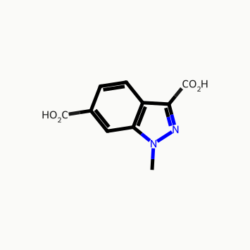 Cn1nc(C(=O)O)c2ccc(C(=O)O)cc21